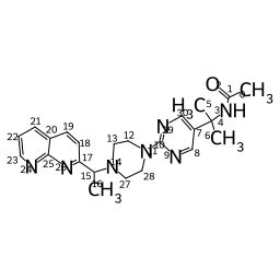 CC(=O)NC(C)(C)c1cnc(N2CCN(C(C)c3ccc4cccnc4n3)CC2)nc1